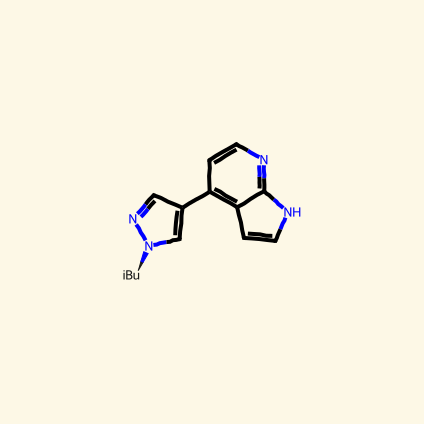 CC[C@H](C)n1cc(-c2ccnc3[nH]ccc23)cn1